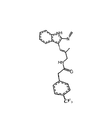 C=Nc1[nH]c2ccccc2c1/C=C(\C)CNC(=O)Cc1ccc(C(F)(F)F)cc1